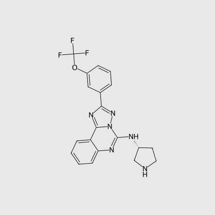 FC(F)(F)Oc1cccc(-c2nc3c4ccccc4nc(N[C@@H]4CCNC4)n3n2)c1